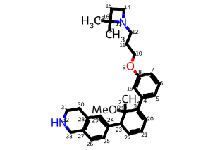 COC1(C)C(c2cccc(OCCCN3CCC3(C)C)c2)=CC=CC1c1ccc2c(c1)CCNC2